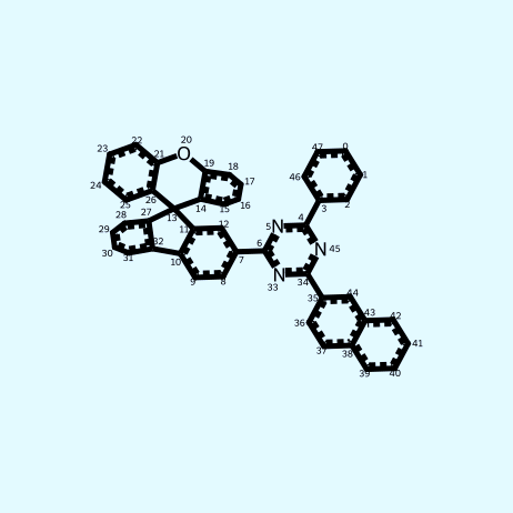 c1ccc(-c2nc(-c3ccc4c(c3)C3(c5ccccc5Oc5ccccc53)c3ccccc3-4)nc(-c3ccc4ccccc4c3)n2)cc1